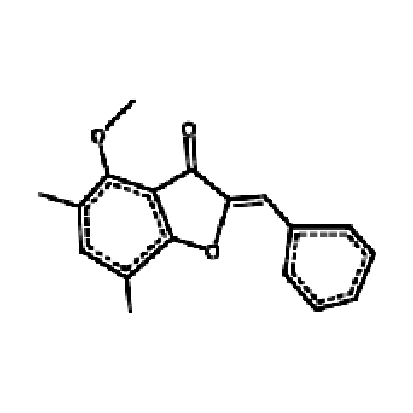 COc1c(C)cc(C)c2c1C(=O)/C(=C/c1ccccc1)O2